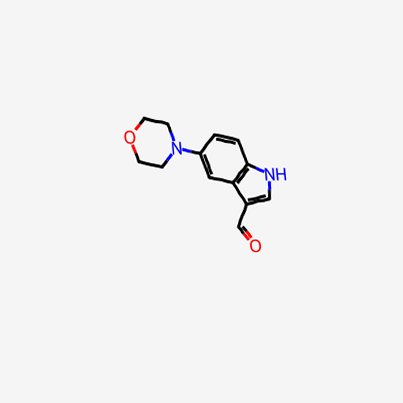 O=Cc1c[nH]c2ccc(N3CCOCC3)cc12